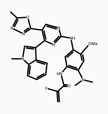 C=C(F)C(=O)Nc1cc(Nc2ncc(-c3nnc(C)o3)c(-c3cn(C)c4ccccc34)n2)c(OC)cc1N(C)C